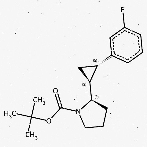 CC(C)(C)OC(=O)N1CCC[C@@H]1[C@H]1C[C@@H]1c1cccc(F)c1